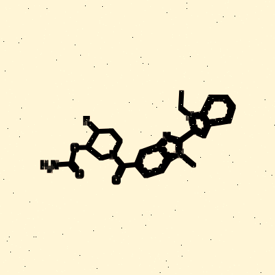 CCn1c(-c2nc3cc(C(=O)N4CCC(F)C(OC(N)=O)C4)ccc3n2C)cc2ccccc21